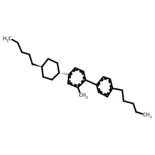 CCCCCc1ccc(-c2ccc([C@H]3CC[C@H](CCCCC)CC3)cc2C)cc1